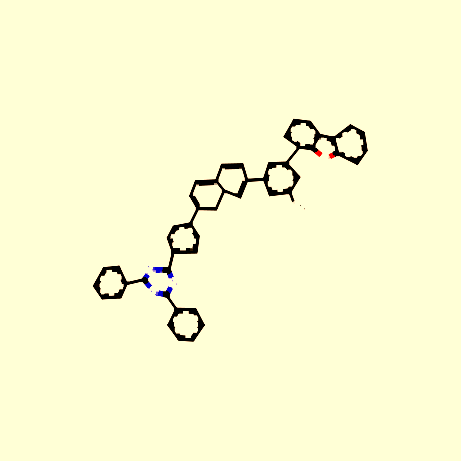 N#Cc1cc(C2=CC3CC(c4ccc(-c5nc(-c6ccccc6)nc(-c6ccccc6)n5)cc4)=CC=C3C=C2)cc(-c2cccc3c2oc2ccccc23)c1